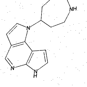 c1cc2c(ncc3ccn(C4CCCNCC4)c32)[nH]1